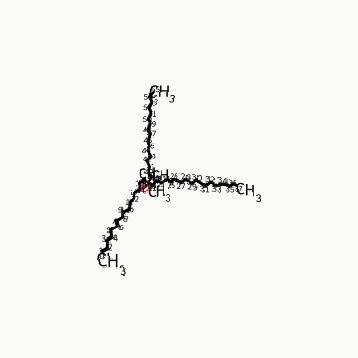 CCCCCCCCCCCCCCCCC(C)[Si]([O])(C(C)CCCCCCCCCCCCCCCC)C(C)CCCCCCCCCCCCCCCC